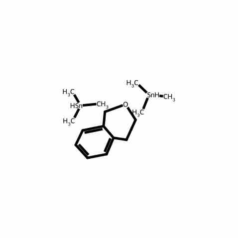 [CH3][SnH]([CH3])[CH3].[CH3][SnH]([CH3])[CH3].c1ccc2c(c1)CCOC2